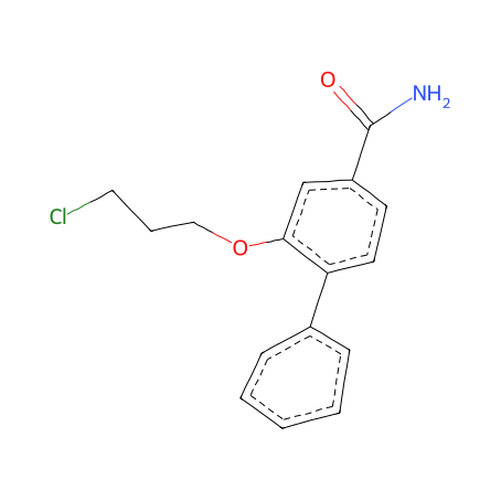 NC(=O)c1ccc(-c2ccccc2)c(OCCCCl)c1